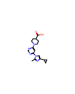 Cc1nc(C2CC2)cn1-c1cc(N2CCC(C(=O)O)CC2)ncn1